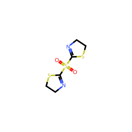 O=S(=O)(C1=NCCS1)C1=NCCS1